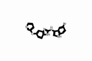 Brc1ccc2[nH]cc(Nc3nc4cc(Oc5cccnc5)ccc4[nH]3)c2c1